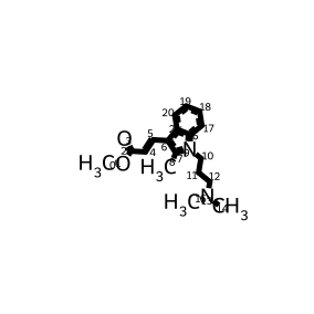 COC(=O)/C=C/c1c(C)n(CCCN(C)C)c2ccccc12